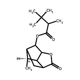 CC(C(=O)OC1C2OC(=O)C3CC1[C@H](C)C32)C(C)(C)C